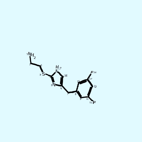 NCCSc1nc(Cc2cc(F)cc(F)c2)c[nH]1